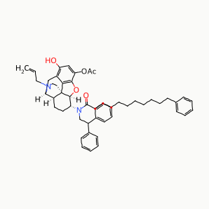 C=CCN1CC[C@]23c4c5c(O)cc(OC(C)=O)c4O[C@H]2[C@H](N(CC(c2ccccc2)c2ccccc2)C(=O)CCCCCCCCCCc2ccccc2)CC[C@H]3[C@H]1C5